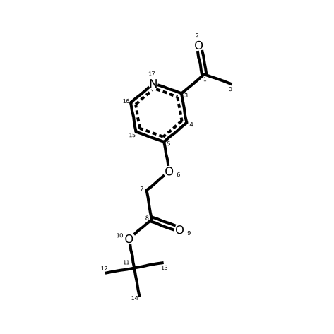 CC(=O)c1cc(OCC(=O)OC(C)(C)C)ccn1